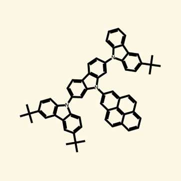 CC(C)(C)c1ccc2c(c1)c1ccccc1n2-c1ccc2c3ccc(-n4c5ccc(C(C)(C)C)cc5c5cc(C(C)(C)C)ccc54)cc3n(-c3cc4ccc5cccc6ccc(c3)c4c56)c2c1